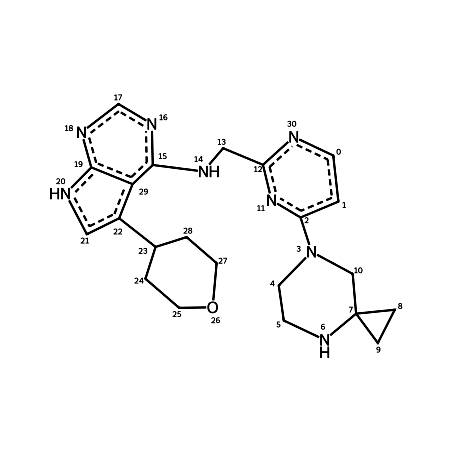 c1cc(N2CCNC3(CC3)C2)nc(CNc2ncnc3[nH]cc(C4CCOCC4)c23)n1